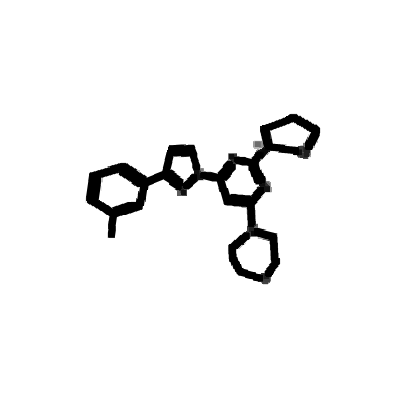 Cc1cccc(-c2ccn(-c3cc(N4CCOCC4)nc([C@H]4CCCO4)n3)n2)c1